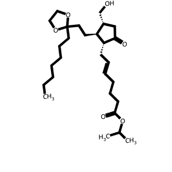 CCCCCCCC1(CC[C@H]2[C@H](CO)CC(=O)[C@@H]2CC=CCCCC(=O)OC(C)C)OCCO1